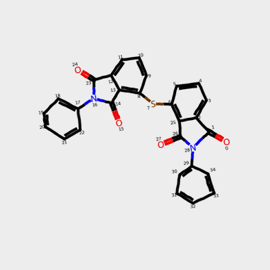 O=C1c2cccc(Sc3cccc4c3C(=O)N(c3ccccc3)C4=O)c2C(=O)N1c1ccccc1